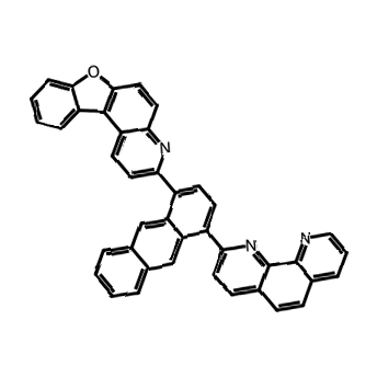 c1ccc2cc3c(-c4ccc5ccc6cccnc6c5n4)ccc(-c4ccc5c(ccc6oc7ccccc7c65)n4)c3cc2c1